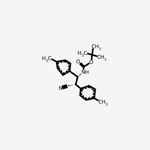 Cc1ccc([C@H](C#N)[C@@H](NC(=O)OC(C)(C)C)c2ccc(C)cc2)cc1